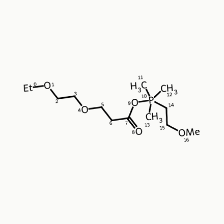 CCOCCOCCC(=O)OP(C)(C)(C)CCOC